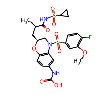 COc1cc(S(=O)(=O)N2C[C@H](C[C@@H](C)C(=O)NS(=O)(=O)C3CC3)Oc3ccc(NC(=O)O)cc32)ccc1F